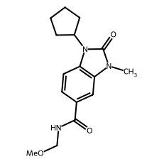 COCNC(=O)c1ccc2c(c1)n(C)c(=O)n2C1CCCC1